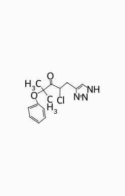 CC(C)(Oc1ccccc1)C(=O)C(Cl)Cc1c[nH]nn1